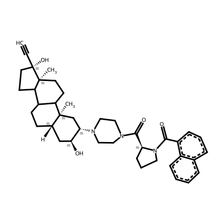 C#C[C@]1(O)CCC2C3CC[C@H]4C[C@H](O)[C@@H](N5CCN(C(=O)[C@@H]6CCCN6C(=O)c6cccc7ccccc67)CC5)C[C@]4(C)C3CC[C@@]21C